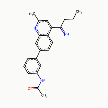 CCCC(=N)c1cc(C)nc2cc(-c3cccc(NC(C)=O)c3)ccc12